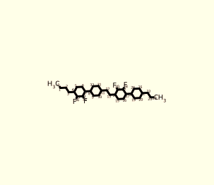 CCCCC1CCC(C2CCC(CCC3CCC(C4CCC(CCC)CC4)C(F)C3F)CC2)C(F)C1F